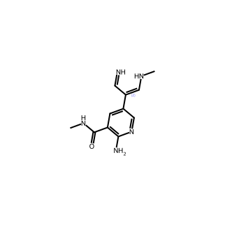 CN/C=C(\C=N)c1cnc(N)c(C(=O)NC)c1